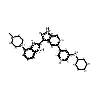 CN1CCN(c2cccc3[nH]c(-c4n[nH]c5cnc(-c6cncc(OC7CCCCC7)c6)cc45)nc23)CC1